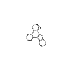 c1ccc2c(c1)cc1c3occcc3c3ccccc3c21